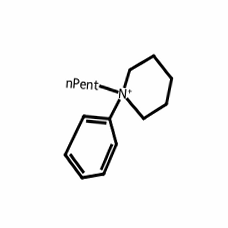 CCCCC[N+]1(c2ccccc2)CCCCC1